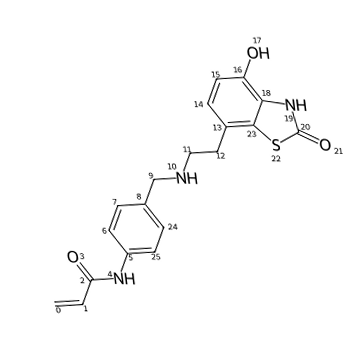 C=CC(=O)Nc1ccc(CNCCc2ccc(O)c3[nH]c(=O)sc23)cc1